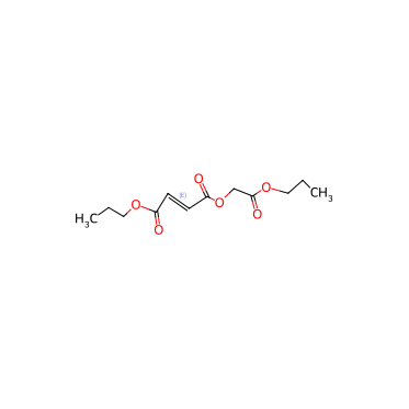 CCCOC(=O)/C=C/C(=O)OCC(=O)OCCC